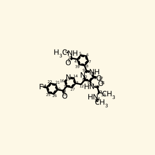 CNC(=O)c1cccc(-c2nc(Cc3cncc(C(=O)c4ccc(F)cc4)c3)c(NC(=O)[C@H](C)NC)c(=O)[nH]2)c1